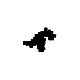 N#Cc1cc(C(=O)N2CCc3c(n4ncc(Cc5ccccc5)c4n(-c4ccc(C(N)=O)cc4)c3=O)C2)ccc1Br